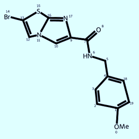 COc1ccc(CNC(=O)c2cn3cc(Br)sc3n2)cc1